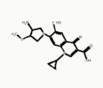 COC1CN(c2cc3c(cc2F)c(=O)c(C(=O)O)cn3C2CC2)CC1N.Cl